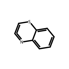 C1=CSc2ccccc2N=1